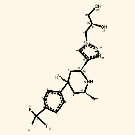 C[C@H]1CC(O)(c2ccc(C(F)(F)F)cc2)C[C@@H](c2cn(C[C@H](O)CO)nn2)N1